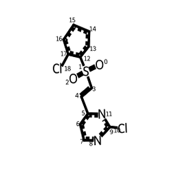 O=S(=O)(C=Cc1ccnc(Cl)n1)c1ccccc1Cl